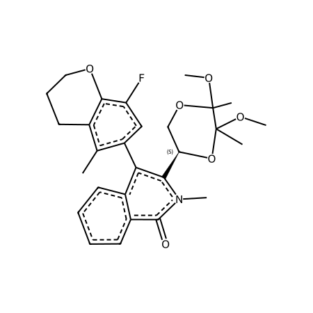 COC1(C)OC[C@H](c2c(-c3cc(F)c4c(c3C)CCCO4)c3ccccc3c(=O)n2C)OC1(C)OC